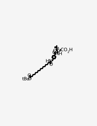 C=C(C)OC(=O)[C@H](CCC(=O)O)NC(=O)c1ccc(CNC(=O)CCCCCCCCCCCCCCC(=O)OC(C)(C)C)cc1